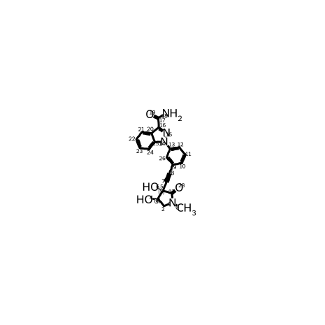 CN1C[C@@H](O)[C@@](O)(C#Cc2cccc(-n3nc(C(N)=O)c4ccccc43)c2)C1=O